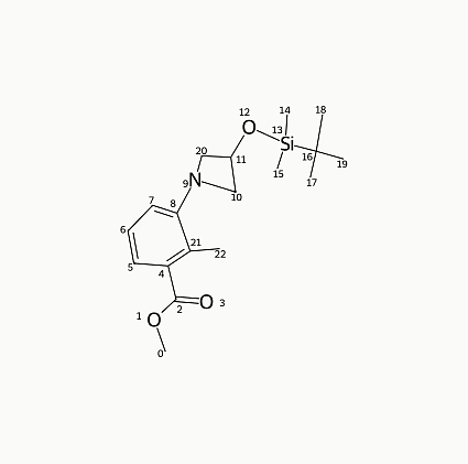 COC(=O)c1cccc(N2CC(O[Si](C)(C)C(C)(C)C)C2)c1C